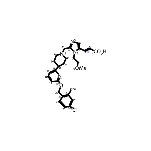 COCCn1c(/C=C/C(=O)O)cnc1CN1CCC(c2cccc(OCc3ccc(Cl)cc3F)n2)CC1